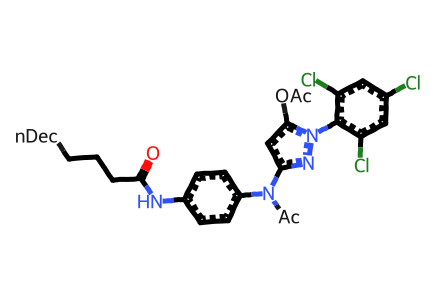 CCCCCCCCCCCCCC(=O)Nc1ccc(N(C(C)=O)c2cc(OC(C)=O)n(-c3c(Cl)cc(Cl)cc3Cl)n2)cc1